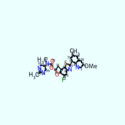 COc1cnc2c(-c3nc4cc(F)c5c(c4s3)C[C@@H](OC(=O)N(C)c3cnc(C)nc3)O5)cc(C)cc2c1